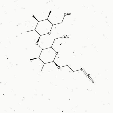 CC(=O)OCC1O[C@@H](OCCN=[N+]=[N-])C(C)[C@@H](C)[C@@H]1O[C@@H]1OC(COC(C)=O)[C@H](C)[C@H](C)C1C